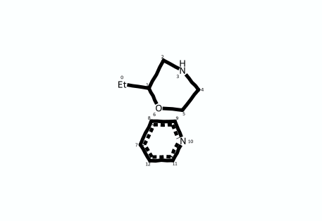 CCC1CNCCO1.c1ccncc1